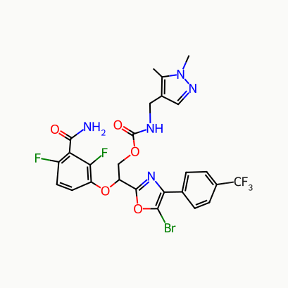 Cc1c(CNC(=O)OCC(Oc2ccc(F)c(C(N)=O)c2F)c2nc(-c3ccc(C(F)(F)F)cc3)c(Br)o2)cnn1C